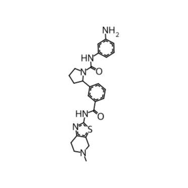 CN1CCc2nc(NC(=O)c3cccc(C4CCCN4C(=O)Nc4cccc(N)c4)c3)sc2C1